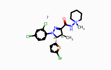 C[C@@H]1C(C(=O)N[N+]2(C)CCCCC2)=NN(c2ccc(Cl)cc2Cl)[C@H]1c1ccc(Br)s1.[I-]